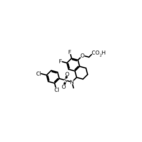 CN(C1CCCc2c1cc(F)c(F)c2OCC(=O)O)S(=O)(=O)c1ccc(Cl)cc1Cl